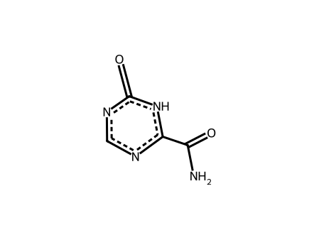 NC(=O)c1ncnc(=O)[nH]1